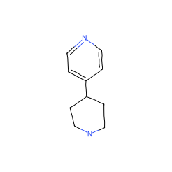 c1cc(C2CC[N]CC2)ccn1